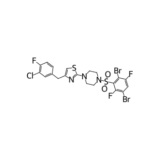 O=S(=O)(c1c(F)c(Br)cc(F)c1Br)N1CCN(c2nc(Cc3ccc(F)c(Cl)c3)cs2)CC1